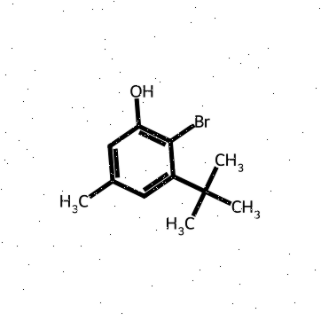 Cc1cc(O)c(Br)c(C(C)(C)C)c1